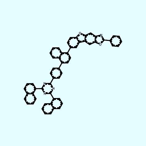 c1ccc(-c2nc3cc4oc5ccc(-c6ccc(-c7ccc(-c8nc(-c9cccc%10ccccc9%10)nc(-c9cccc%10ccccc9%10)n8)cc7)c7ccccc67)cc5c4cc3o2)cc1